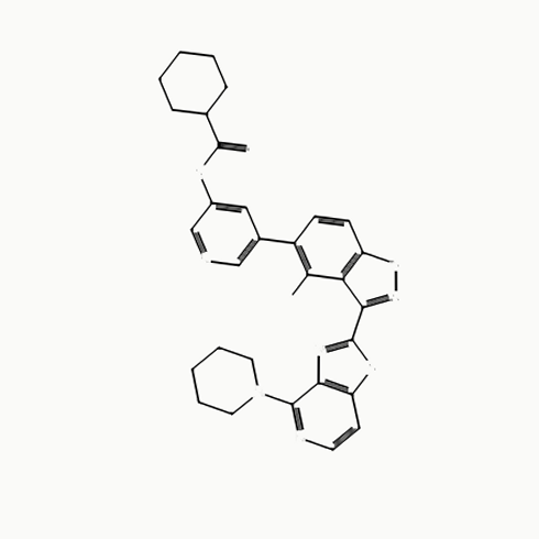 O=C(Nc1cncc(-c2ccc3[nH]nc(-c4nc5c(N6CCCCC6)nccc5[nH]4)c3c2F)c1)C1CCCCC1